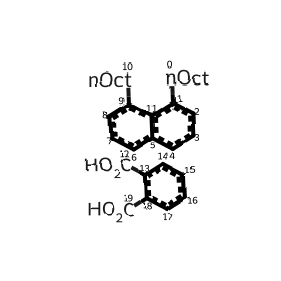 CCCCCCCCc1cccc2cccc(CCCCCCCC)c12.O=C(O)c1ccccc1C(=O)O